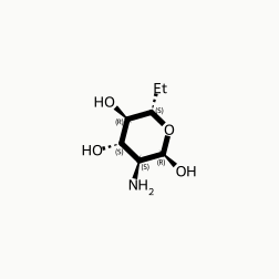 CC[C@@H]1O[C@@H](O)[C@@H](N)[C@H](O)[C@H]1O